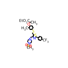 CCOC(=O)C(C)Oc1ccc(SCc2sc(-c3ccc(C(F)(F)F)cc3)nc2CN2CCN(S(C)(=O)=O)CC2)cc1C